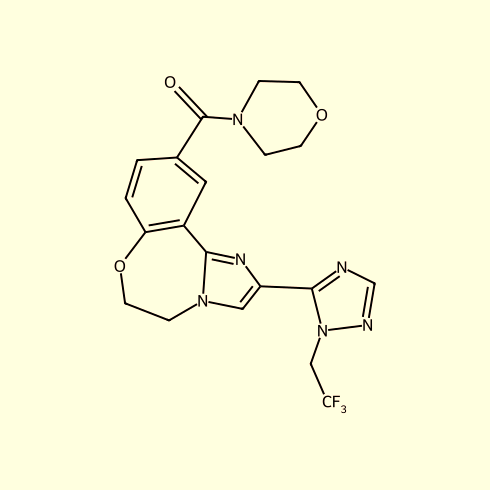 O=C(c1ccc2c(c1)-c1nc(-c3ncnn3CC(F)(F)F)cn1CCO2)N1CCOCC1